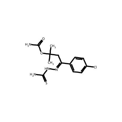 CC(C)(CC(=NNC(N)=S)c1ccc(Cl)cc1)OC(N)=O